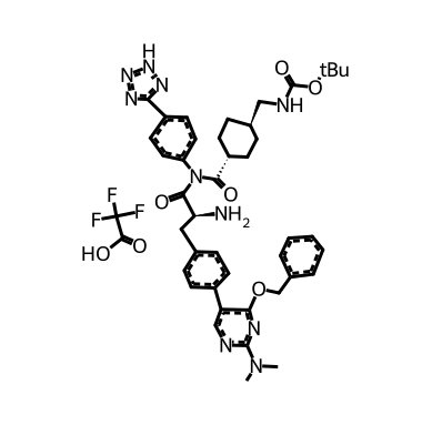 CN(C)c1ncc(-c2ccc(C[C@H](N)C(=O)N(c3ccc(-c4nn[nH]n4)cc3)C(=O)[C@H]3CC[C@H](CNC(=O)OC(C)(C)C)CC3)cc2)c(OCc2ccccc2)n1.O=C(O)C(F)(F)F